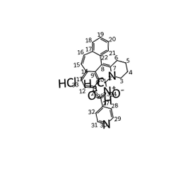 CC(N1CCCCC1=C1c2ccccc2C=Cc2ccccc21)[NH+]([O-])C(=O)c1ccncc1.Cl